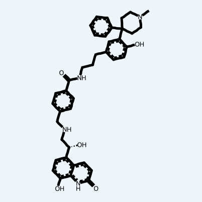 CN1CCC(c2ccccc2)(c2cc(CCCNC(=O)c3ccc(CNC[C@H](O)c4ccc(O)c5[nH]c(=O)ccc45)cc3)ccc2O)CC1